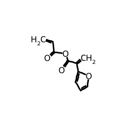 C=CC(=O)OC(=O)C(=C)c1ccco1